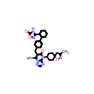 CCCc1c(Cc2ccc(-c3ccccc3-c3noc(=O)[nH]3)cc2)c(=O)n(C2CCC3(CC2)CC(C)=NO3)c2ncnn12